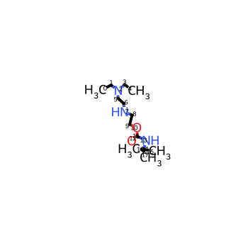 CCN(CC)CCNCCOC(=O)NC(C)(C)C